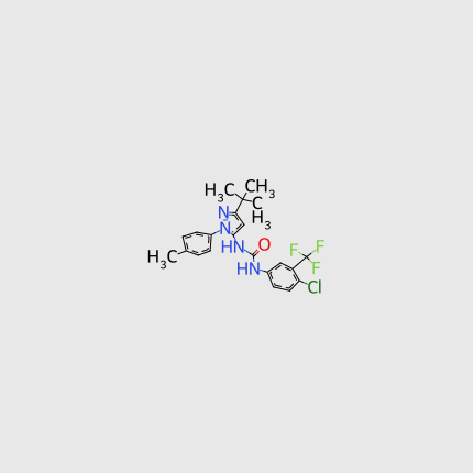 Cc1ccc(-n2nc(C(C)(C)C)cc2NC(=O)Nc2ccc(Cl)c(C(F)(F)F)c2)cc1